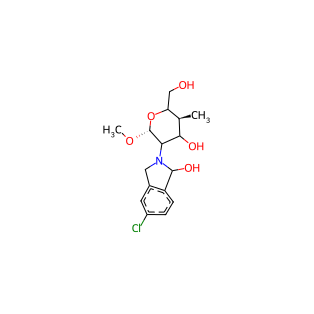 CO[C@@H]1OC(CO)[C@@H](C)C(O)C1N1Cc2cc(Cl)ccc2C1O